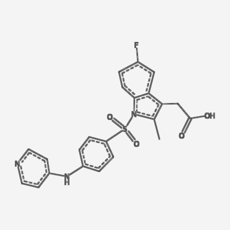 Cc1c(CC(=O)O)c2cc(F)ccc2n1S(=O)(=O)c1ccc(Nc2ccncc2)cc1